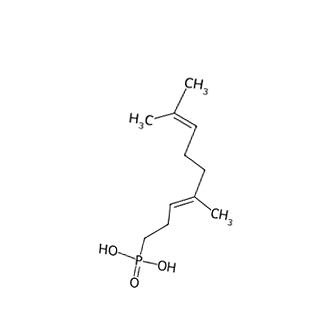 CC(C)=CCCC(C)=CCCP(=O)(O)O